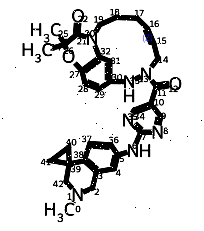 CN1Cc2cc(Nc3ncc(C(=O)N4C/C=C\CCCN5C(=O)C(C)(C)Oc6ccc(cc65)N4)cn3)ccc2C2(CC2)C1